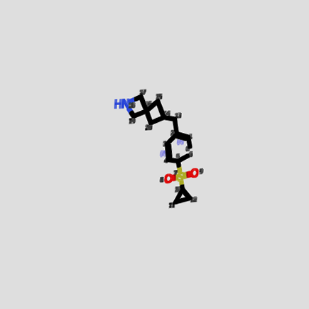 C/C=C(\C=C/C(C)S(=O)(=O)C1CC1)CC1CC2(CNC2)C1